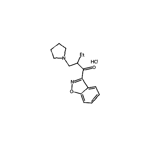 CCC(CN1CCCC1)C(=O)c1noc2ccccc12.Cl